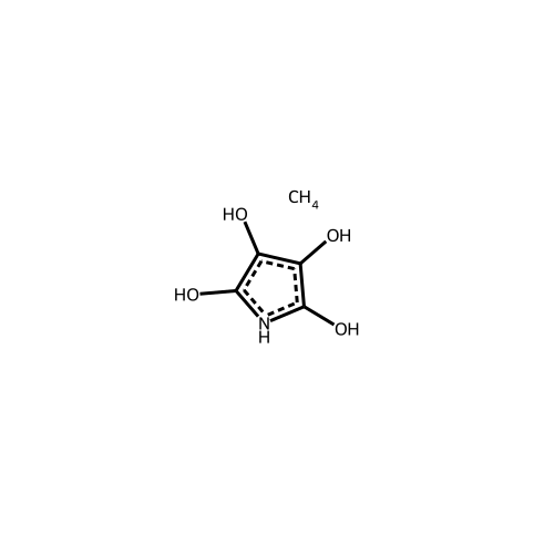 C.Oc1[nH]c(O)c(O)c1O